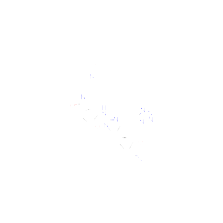 COc1ccc(C(=O)N2CCC(N3CCOCC3)CC2)cc1Nc1ncc(-c2ccc(C#N)c(O[C@@H](C)Cn3cnnn3)c2)cn1